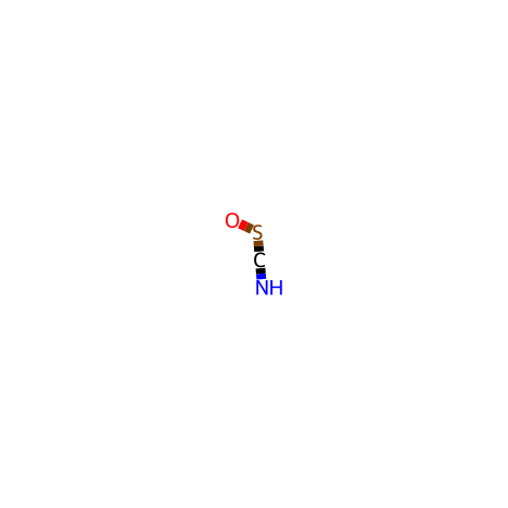 N=C=S=O